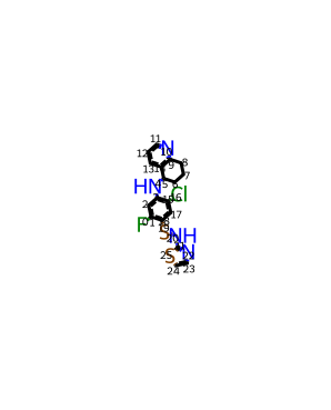 Fc1cc(NC2CCCc3ncccc32)c(Cl)cc1SNc1nccs1